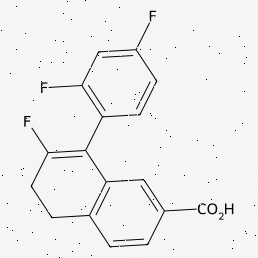 O=C(O)c1ccc2c(c1)C(c1ccc(F)cc1F)=C(F)CC2